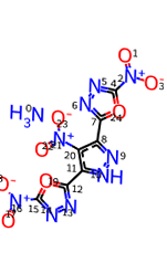 N.O=[N+]([O-])c1nnc(-c2n[nH]c(-c3nnc([N+](=O)[O-])o3)c2[N+](=O)[O-])o1